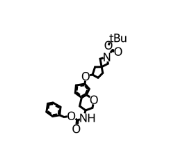 CC(C)(C)OC(=O)N1CC2(CCC(Oc3ccc4c(c3)OCC(NC(=O)OCc3ccccc3)C4)C2)C1